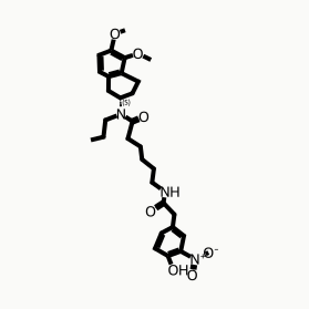 CCCN(C(=O)CCCCCNC(=O)Cc1ccc(O)c([N+](=O)[O-])c1)[C@H]1CCc2c(ccc(OC)c2OC)C1